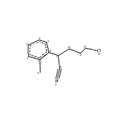 Cc1ccccc1C(C#N)CCCCl